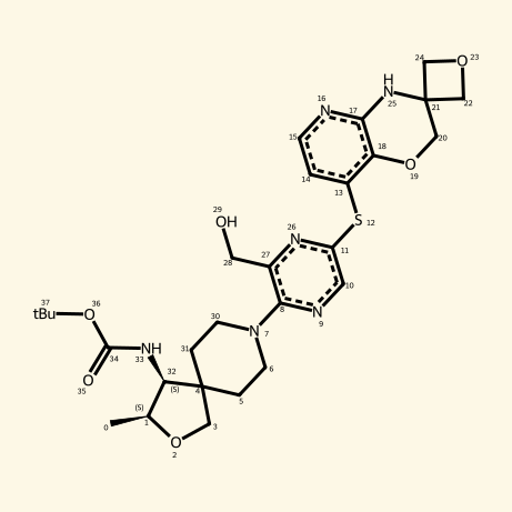 C[C@@H]1OCC2(CCN(c3ncc(Sc4ccnc5c4OCC4(COC4)N5)nc3CO)CC2)[C@@H]1NC(=O)OC(C)(C)C